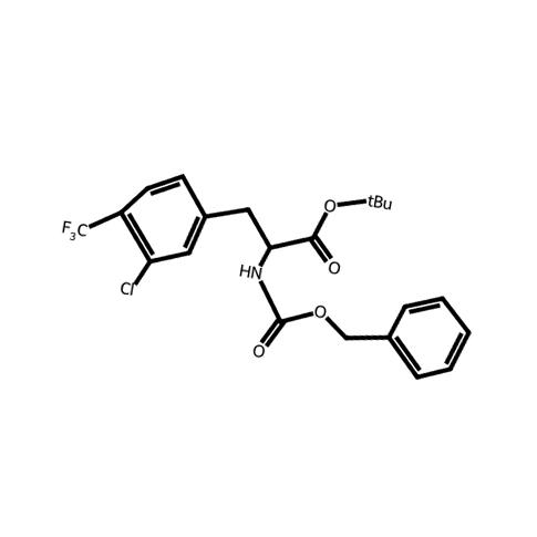 CC(C)(C)OC(=O)C(Cc1ccc(C(F)(F)F)c(Cl)c1)NC(=O)OCc1ccccc1